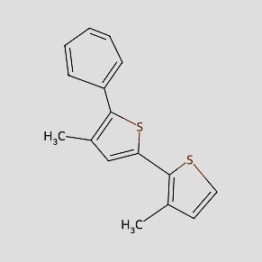 Cc1cc(-c2sccc2C)sc1-c1ccccc1